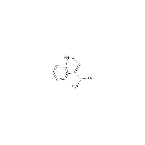 N#CC(N)C1=CCNc2ccccc21